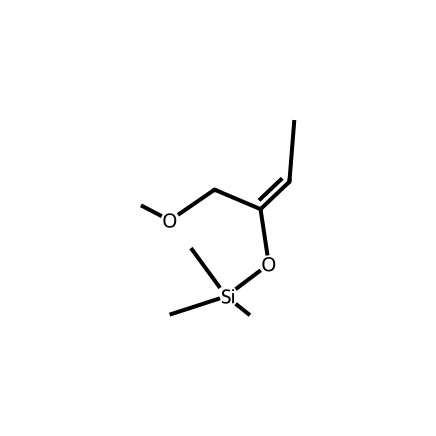 C/C=C(\COC)O[Si](C)(C)C